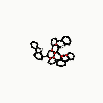 c1ccc(-c2ccccc2-n2c3ccccc3c3ccccc32)c(-c2ccccc2N(c2ccc(-c3cccc4c3oc3ccccc34)cc2)c2cc3ccccc3c3ccccc23)c1